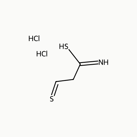 Cl.Cl.N=C(S)CC=S